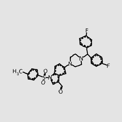 Cc1ccc(S(=O)(=O)n2cc(C=O)c3cc(N4CCN(C(c5ccc(F)cc5)c5ccc(F)cc5)CC4)ccc32)cc1